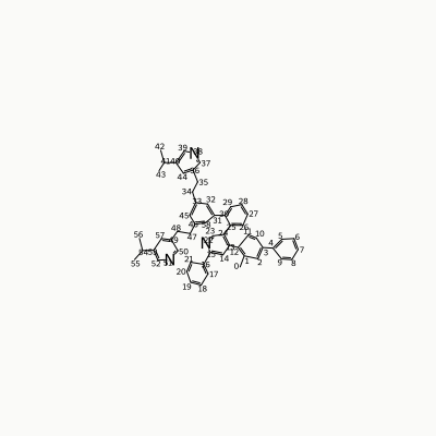 Cc1cc(-c2ccccc2)ccc1-c1cc(-c2ccccc2)ncc1-c1ccccc1-c1cc(CCc2cncc(C(C)C)c2)cc(CCc2cncc(C(C)C)c2)c1